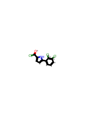 O=C(Cl)c1ccc(-c2cccc(Cl)c2Cl)[nH]1